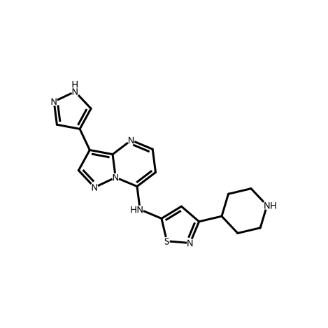 c1cc(Nc2cc(C3CCNCC3)ns2)n2ncc(-c3cn[nH]c3)c2n1